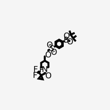 CC1(C)OB(c2ccc(S(=O)(=O)COCC3CCN(C(=O)C4(C(F)(F)F)CC4)CC3)cc2)OC1(C)C